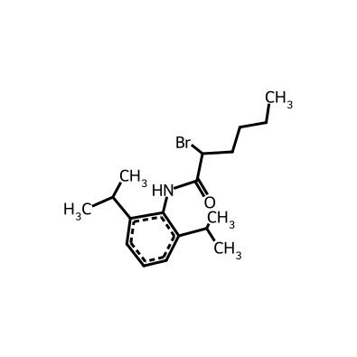 CCCCC(Br)C(=O)Nc1c(C(C)C)cccc1C(C)C